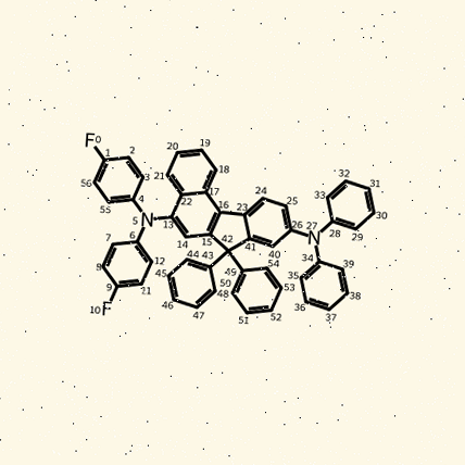 Fc1ccc(N(c2ccc(F)cc2)c2cc3c(c4ccccc24)-c2ccc(N(c4ccccc4)c4ccccc4)cc2C3(c2ccccc2)c2ccccc2)cc1